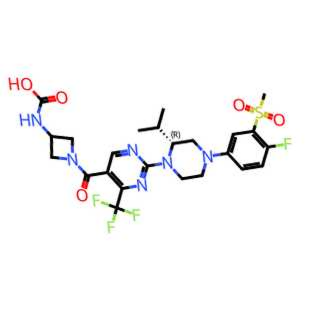 CC(C)[C@@H]1CN(c2ccc(F)c(S(C)(=O)=O)c2)CCN1c1ncc(C(=O)N2CC(NC(=O)O)C2)c(C(F)(F)F)n1